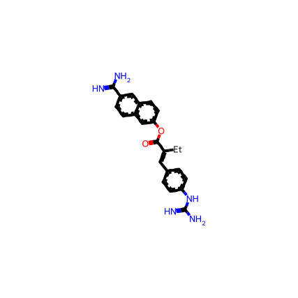 CC/C(=C\c1ccc(NC(=N)N)cc1)C(=O)Oc1ccc2cc(C(=N)N)ccc2c1